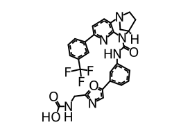 O=C(O)NCc1ncc(-c2cccc(NC(=O)N3c4nc(-c5cccc(C(F)(F)F)c5)ccc4N4CC[C@H]3C4)c2)o1